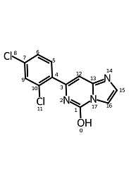 Oc1nc(-c2ccc(Cl)cc2Cl)cc2nccn12